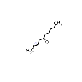 C/C=C/CC(=O)CCCCC